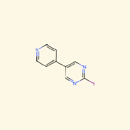 Ic1ncc(-c2ccncc2)cn1